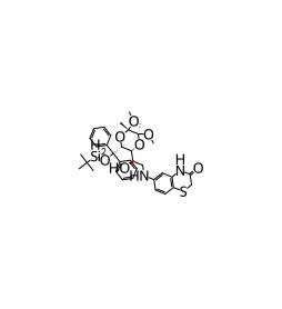 CO[C@@]1(C)O[C@H]([C@H](O)CNc2ccc3c(c2)NC(=O)CS3)[C@H](C(O[SiH2]C(C)(C)C)(c2ccccc2)c2ccccc2)O[C@]1(C)OC